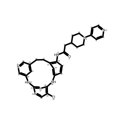 O=C(CC1CCN(c2ccncc2)CC1)Nc1ccc2cc1CCc1cncc(c1)Nc1ncc(Cl)c(n1)N2